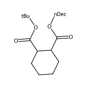 CCCCCCCCCCOC(=O)C1CCCCC1C(=O)OC(C)(C)C